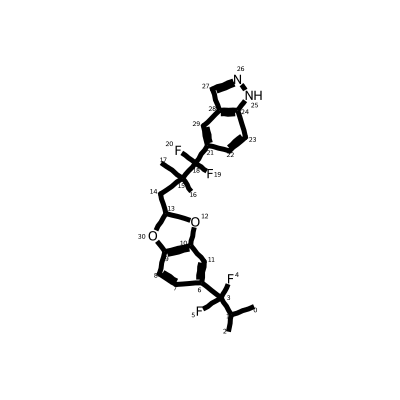 CC(C)C(F)(F)c1ccc2c(c1)OC(CC(C)(C)C(F)(F)c1ccc3[nH]ncc3c1)O2